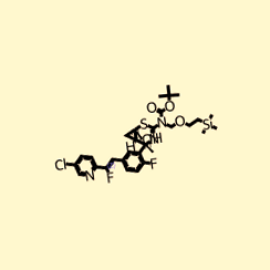 CC(C)(C)OC(=O)N(COCC[Si](C)(C)C)C1=N[C@](C)(c2cc(/C=C(\F)c3ccc(Cl)cn3)ccc2F)[C@@H]2C[C@]2(CO)S1